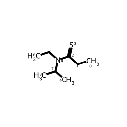 CCC(=S)N(CC)C(C)C